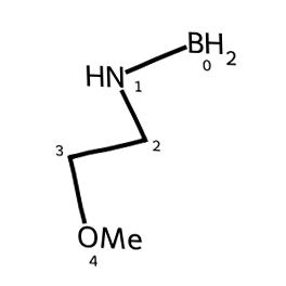 BNCCOC